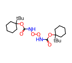 CC(C)(C)C1(OC(=O)NOONC(=O)OC2(C(C)(C)C)CCCCC2)CCCCC1